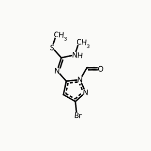 CN/C(=N\c1cc(Br)nn1C=O)SC